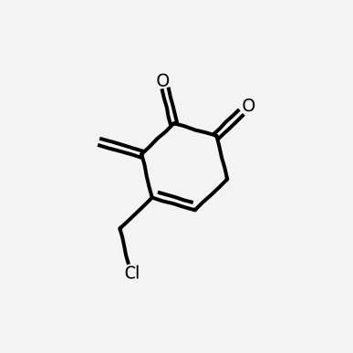 C=C1C(=O)C(=O)CC=C1CCl